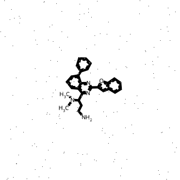 CN(C)C(CCN)c1nc(-c2cc3ccccc3o2)nc2c(-c3ccccc3)cccc12